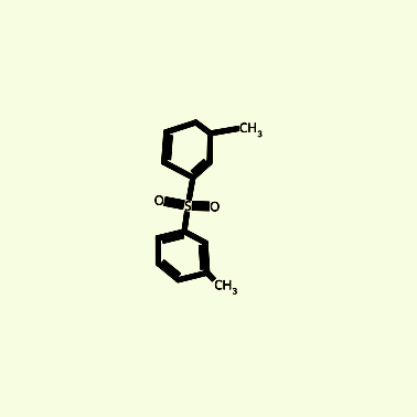 Cc1cccc(S(=O)(=O)C2=CC(C)CC=C2)c1